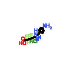 Cl.Nc1ccc(-c2nnc(C(F)(F)C(F)(F)C(F)(F)C(=O)O)[nH]2)cc1